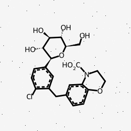 O=C(O)N1CCOc2ccc(Cc3cc([C@@H]4O[C@H](CO)[C@@H](O)[C@H](O)[C@H]4O)ccc3Cl)cc21